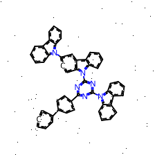 c1ccc(-c2ccc(-c3nc(-n4c5ccccc5c5ccccc54)nc(-n4c5ccccc5c5cc(-n6c7ccccc7c7ccccc76)ccc54)n3)cc2)cc1